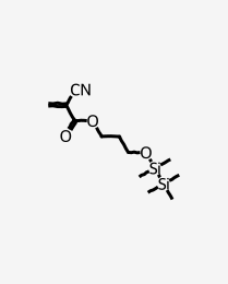 C=C(C#N)C(=O)OCCCO[Si](C)(C)[Si](C)(C)C